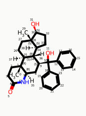 C[C@]12CCC(=O)N[C@@H]1C[C@H](C(O)(c1ccccc1)c1ccccc1)[C@@H]1[C@@H]2CC[C@]2(C)[C@@H](O)CC[C@@H]12